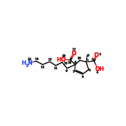 CC1(C(=O)O)CC=CC(CCCCCCN)(C(=O)O)C1